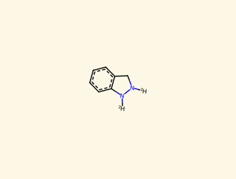 [2H]N1Cc2ccccc2N1[2H]